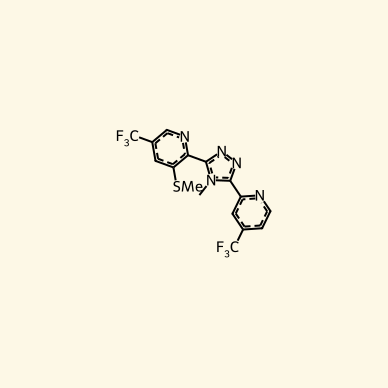 CSc1cc(C(F)(F)F)cnc1-c1nnc(-c2cc(C(F)(F)F)ccn2)n1C